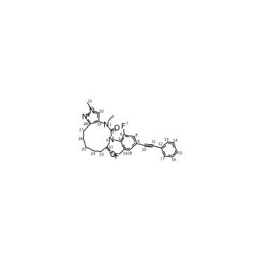 CN1C(=O)N(c2c(F)cc(C#Cc3ccccc3)cc2F)C(=O)CCCCCc2nn(C)cc21